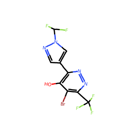 Oc1c(-c2cnn(C(F)F)c2)nnc(C(F)(F)F)c1Br